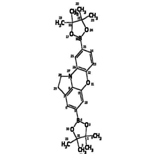 CC1(C)OB(c2cc3c4c(c2)Oc2ccc(B5OC(C)(C)C(C)(C)O5)cc2N4CC3)OC1(C)C